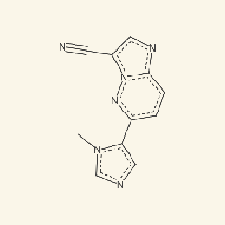 Cn1cncc1-c1ccc2ncc(C#N)n2n1